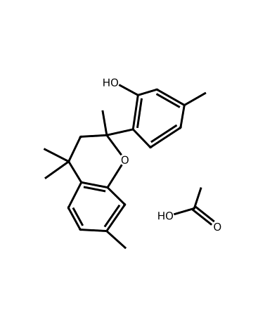 CC(=O)O.Cc1ccc(C2(C)CC(C)(C)c3ccc(C)cc3O2)c(O)c1